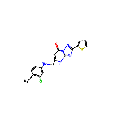 Cc1ccc(NCc2cc(=O)n3nc(-c4cccs4)nc3[nH]2)cc1Cl